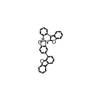 c1ccc2c(c1)B1Oc3ccc(-c4cccc5c4oc4ccccc45)cc3N1c1oc3ccccc3c1-2